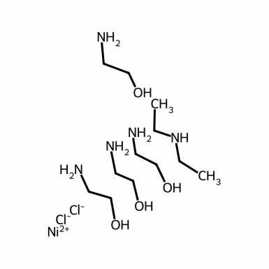 CCNCC.NCCO.NCCO.NCCO.NCCO.[Cl-].[Cl-].[Ni+2]